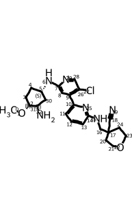 CO[C@@H]1CC[C@H](Nc2cc(-c3cccc(NCC4(C#N)CCOCC4)n3)c(Cl)cn2)C[C@H]1N